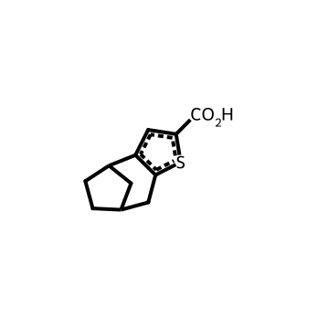 O=C(O)c1cc2c(s1)CC1CCC2C1